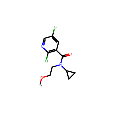 CCOCCN(C(=O)c1cc(Br)cnc1Cl)C1CC1